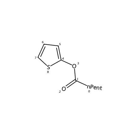 CCCCCC(=O)Oc1cccs1